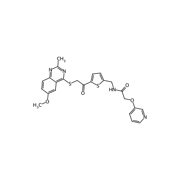 COc1ccc2nc(C)nc(SCC(=O)c3ccc(CNC(=O)COc4cccnc4)s3)c2c1